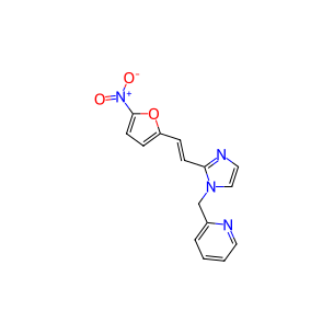 O=[N+]([O-])c1ccc(/C=C/c2nccn2Cc2ccccn2)o1